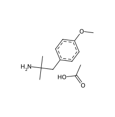 CC(=O)O.COc1ccc(CC(C)(C)N)cc1